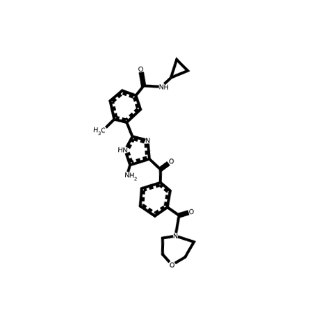 Cc1ccc(C(=O)NC2CC2)cc1-c1nc(C(=O)c2cccc(C(=O)N3CCOCC3)c2)c(N)[nH]1